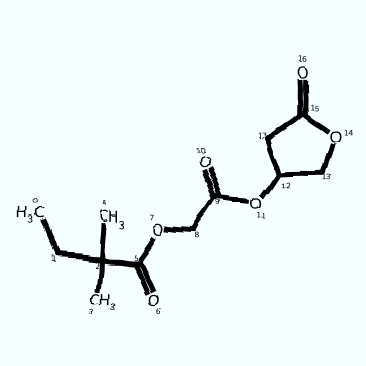 CCC(C)(C)C(=O)OCC(=O)OC1COC(=O)C1